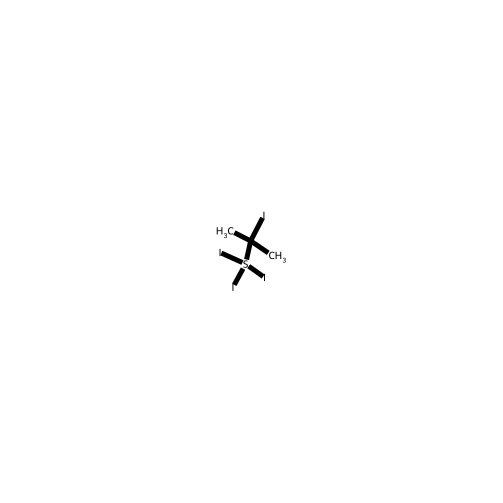 CC(C)(I)S(I)(I)I